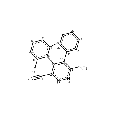 Cc1nnc(C#N)c(-c2c(F)cccc2F)c1-c1ccccc1